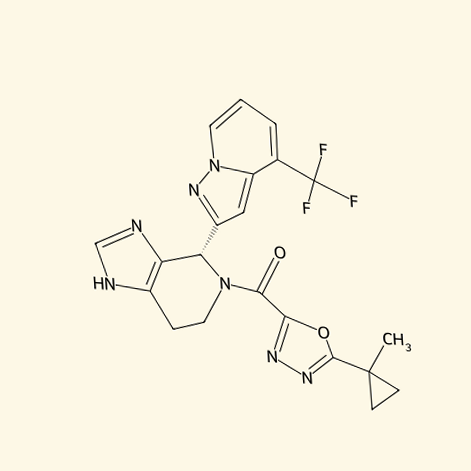 CC1(c2nnc(C(=O)N3CCc4[nH]cnc4[C@@H]3c3cc4c(C(F)(F)F)cccn4n3)o2)CC1